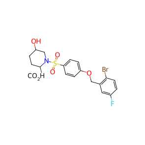 O=C(O)C1CCC(O)CN1S(=O)(=O)c1ccc(OCc2cc(F)ccc2Br)cc1